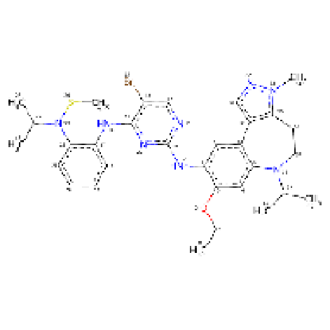 CCOc1cc2c(cc1Nc1ncc(Br)c(Nc3ccccc3N(SC)C(C)C)n1)-c1cnn(C)c1CCN2C(C)C